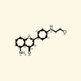 Nc1cccc2oc(-c3ccc(NCCCl)cc3)cc(=O)c12